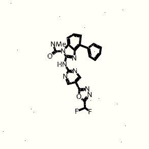 CNC(=O)n1c(Nc2ncc(-c3nnc(C(F)F)o3)cn2)nc2c(-c3ccccc3)cccc21